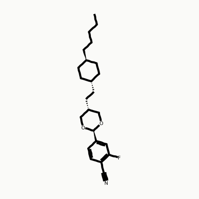 CCCCC[C@H]1CC[C@H](CC[C@H]2CO[C@H](c3ccc(C#N)c(F)c3)OC2)CC1